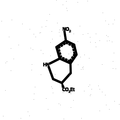 CCOC(=O)[C@H]1CNc2cc([N+](=O)[O-])ccc2C1